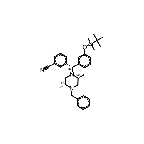 C[C@@H]1CN([C@H](c2cccc(C#N)c2)c2cccc(O[Si](C)(C)C(C)(C)C)c2)[C@@H](C)CN1Cc1ccccc1